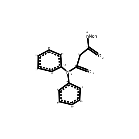 CCCCCCCCCC(=O)CC(=O)N(c1ccccc1)c1ccccc1